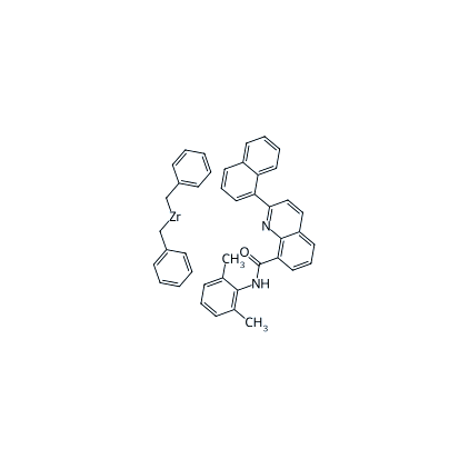 Cc1cccc(C)c1NC(=O)c1cccc2ccc(-c3cccc4ccccc34)nc12.c1ccc([CH2][Zr][CH2]c2ccccc2)cc1